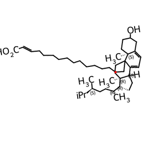 CC(C)[C@@H](C)CC[C@@H](C)[C@H]1CC[C@H]2C3=CC=C4CC(O)CC[C@]4(C)C3(CCCCCCCCCCCCCC=CC(=O)O)CC[C@]12C